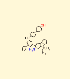 CC1(C)C2C=CC=CC2C2C=C(c3cc(BC4=CCC(C5=CC=C(O)CC5)CC4)cc(-c4ccccc4)c3)C(N)CC21